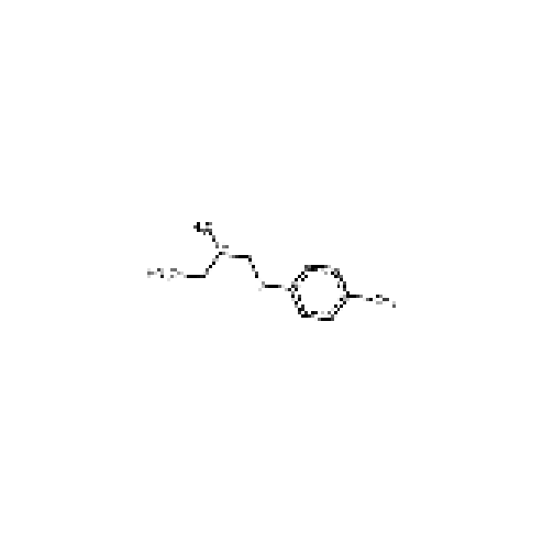 Cc1ccc(OC[C@@H](C)CC(=O)O)cc1